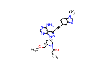 C=CC(=O)N1C[C@@H](n2nc(C#Cc3ccc4c(c3)ncn4C)c3c(N)ncnc32)C[C@@H]1COC